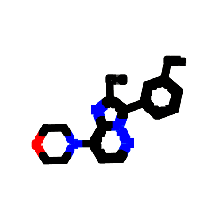 COc1cccc(-c2c(C=O)nc3c(N4CCOCC4)ccnn23)c1